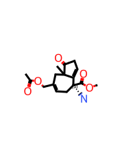 COC(=O)[C@@]1(C#N)CC=C(COC(C)=O)CC2(C)C(=O)CC=C21